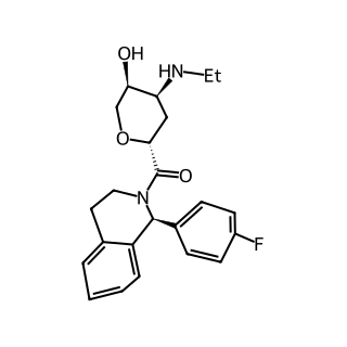 CCN[C@H]1C[C@H](C(=O)N2CCc3ccccc3[C@@H]2c2ccc(F)cc2)OC[C@H]1O